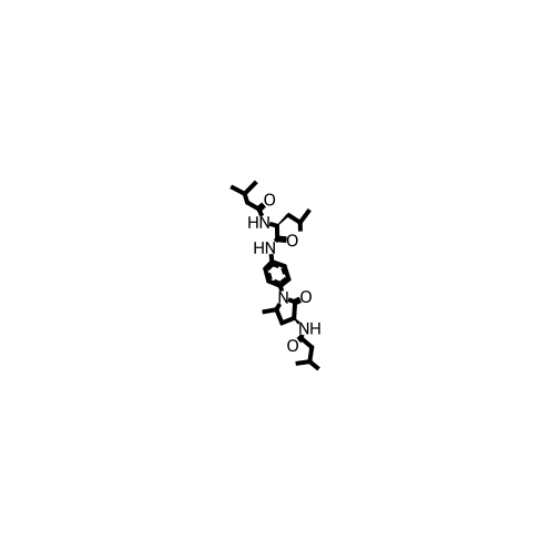 CC(C)CC(=O)N[C@@H](CC(C)C)C(=O)Nc1ccc(N2C(=O)[C@@H](NC(=O)CC(C)C)CC2C)cc1